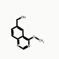 COc1ncnc2ccc(CO)cc12